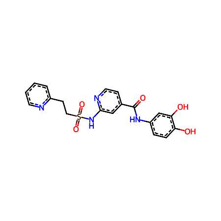 O=C(Nc1ccc(O)c(O)c1)c1ccnc(NS(=O)(=O)CCc2ccccn2)c1